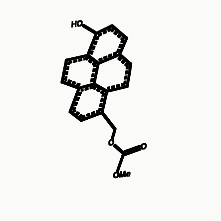 COC(=O)OCc1ccc2ccc3c(O)ccc4ccc1c2c43